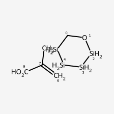 C1O[SiH2][SiH2][SiH2][SiH2]1.C=C(C)C(=O)O